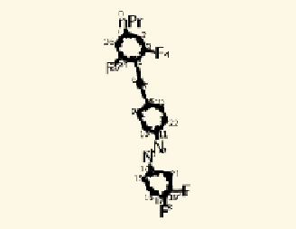 CCCc1cc(F)c(C#Cc2ccc(N=Nc3ccc(F)c(F)c3)cc2)c(F)c1